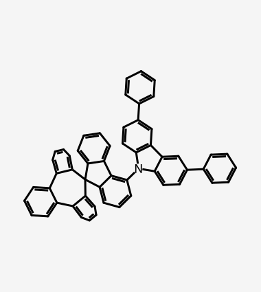 c1ccc(-c2ccc3c(c2)c2cc(-c4ccccc4)ccc2n3-c2cccc3c2-c2ccccc2C32c3ccccc3-c3ccccc3-c3ccccc32)cc1